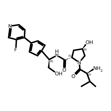 CC(C)[C@H](N)C(=O)N1C[C@H](O)C[C@H]1C(=O)N[C@@H](CO)c1ccc(-c2ccncc2F)cc1